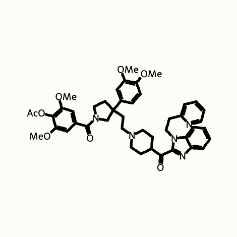 COc1ccc(C2(CCN3CCC(C(=O)c4nc5ccccc5n4CCc4ccccn4)CC3)CCN(C(=O)c3cc(OC)c(OC(C)=O)c(OC)c3)C2)cc1OC